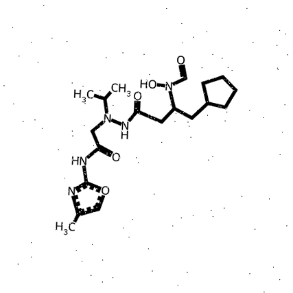 Cc1coc(NC(=O)CN(NC(=O)CC(CC2CCCC2)N(O)C=O)C(C)C)n1